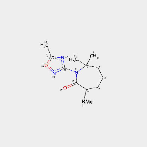 CNC1CCCC(C)(C)N(c2noc(C)n2)C1=O